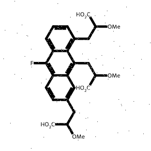 COC(Cc1ccc2c(F)c3cccc(CC(OC)C(=O)O)c3c(CC(OC)C(=O)O)c2c1)C(=O)O